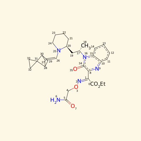 CCOC(=O)/C(=N\OCC(N)=O)c1nc2ccccc2n([C@@H](C)C[C@@H]2CCCCN2C=C2C3CC2C32CC2)c1=O